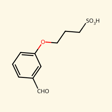 O=Cc1cccc(OCCCS(=O)(=O)O)c1